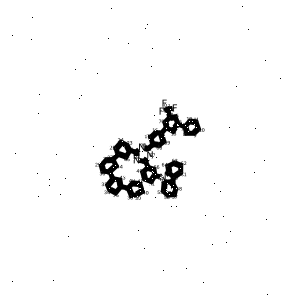 FC(F)(F)c1cc(-c2ccccc2)cc(-c2ccc(-c3nc(-c4cccc(-c5cccc(-c6cccc(-c7ccccc7)c6)c5)c4)nc(-c4cccc(-n5c6ccccc6c6ccccc65)c4)n3)cc2)c1